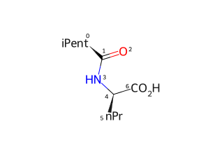 CCC[C@H](C)C(=O)N[C@H](CCC)C(=O)O